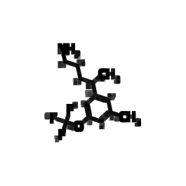 Cc1cc(OC(F)(F)F)cc(C(C)CCCN)c1